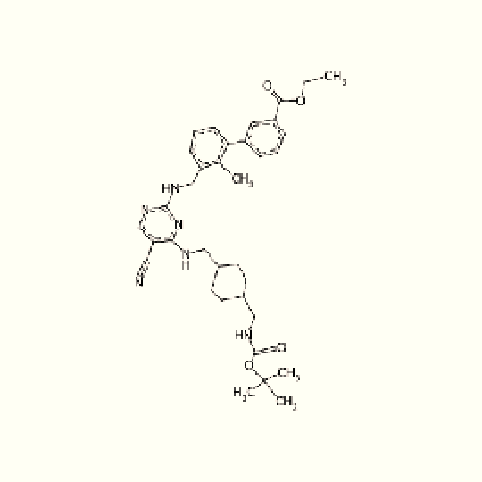 CCOC(=O)c1cccc(-c2cccc(CNc3ncc(C#N)c(NCC4CCC(CNC(=O)OC(C)(C)C)CC4)n3)c2C)c1